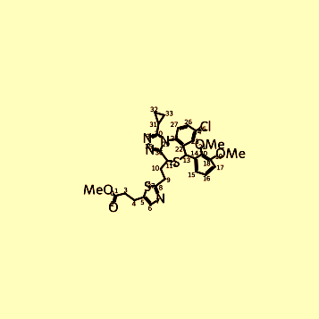 COC(=O)CCc1cnc(CCC2SC(c3cccc(OC)c3OC)c3cc(Cl)ccc3-n3c(C4CC4)nnc32)s1